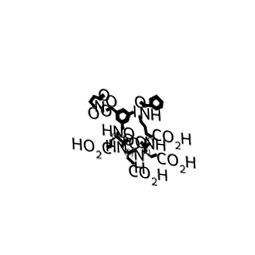 O=C(O)CC[C@@H](NC(=O)c1cc(I)cc(C(=O)ON2C(=O)CCC2=O)c1)C(=O)N[C@H](CCC(=O)O)C(=O)N[C@H](CCC(=O)O)C(=O)N[C@H](CCCCNC(=O)c1ccccc1)C(=O)O